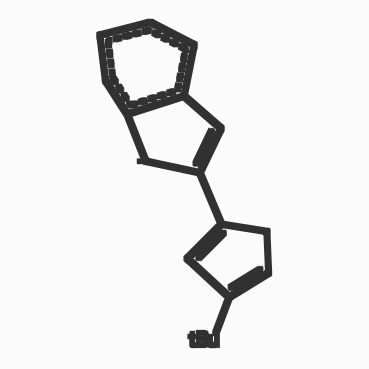 CC(C)(C)C1=CCC(C2=Cc3ccccc3[CH]2)=C1